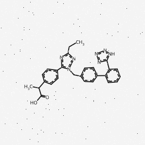 CCc1nc(-c2ccc(C(C)C(=O)O)cc2)n(Cc2ccc(-c3ccccc3-c3nnn[nH]3)cc2)n1